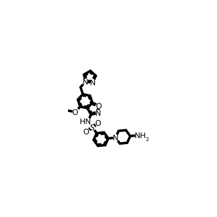 COc1cc(Cn2cccn2)cc2onc(NS(=O)(=O)c3cccc(N4CCC(N)CC4)c3)c12